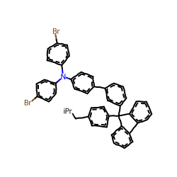 CC(C)Cc1ccc(C2(c3cccc(-c4ccc(N(c5ccc(Br)cc5)c5ccc(Br)cc5)cc4)c3)c3ccccc3-c3ccccc32)cc1